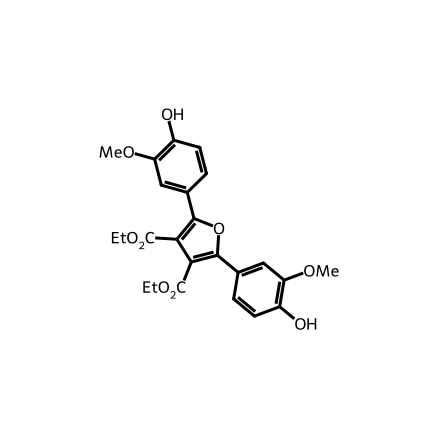 CCOC(=O)c1c(-c2ccc(O)c(OC)c2)oc(-c2ccc(O)c(OC)c2)c1C(=O)OCC